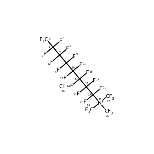 FC(F)(F)C(F)(F)C(F)(F)C(F)(F)C(F)(F)C(F)(F)C(F)(F)C(F)(F)[N+](C(F)(F)F)(C(F)(F)F)C(F)(F)F.[Cl-]